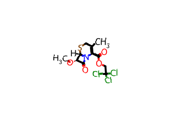 CO[C@H]1C(=O)N2C(C(=O)OCC(Cl)(Cl)Cl)=C(C)CS[C@@H]12